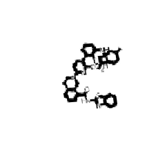 CC1CC=C2C(C)CC2(Nc2cccc(-c3ccc(N4CCc5cccc(C(=O)Nc6nc7ccccc7s6)c5C4)nc3C(=O)O)c2C#N)C1